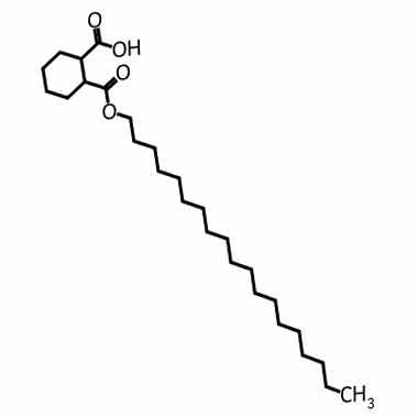 CCCCCCCCCCCCCCCCCCCOC(=O)C1CCCCC1C(=O)O